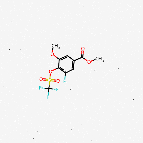 COC(=O)c1cc(F)c(OS(=O)(=O)C(F)(F)F)c(OC)c1